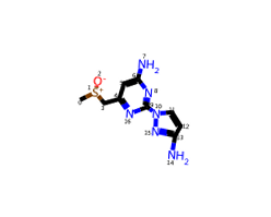 C[S+]([O-])Cc1cc(N)nc(-n2ccc(N)n2)n1